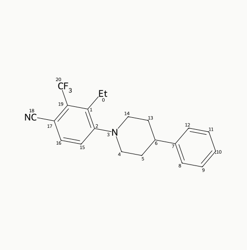 CCc1c(N2CCC(c3cc[c]cc3)CC2)ccc(C#N)c1C(F)(F)F